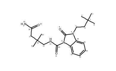 CC(C)(C)CCn1c(=O)n(C(=O)NCC(C)(C)CC(N)=O)c2ccccc21